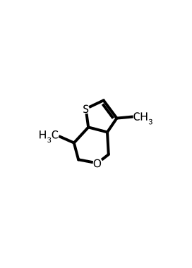 CC1=CSC2C(C)COCC12